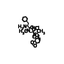 CC(Cc1ccc2c(c1)OCO2)N(C)C(=O)CN(C)C(=O)C(N)Cc1ccccc1.Cl